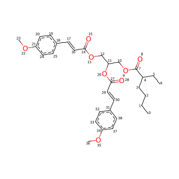 CCCCC(CC)C(=O)OCC(COC(=O)C=Cc1ccc(OC)cc1)OC(=O)C=Cc1ccc(OC)cc1